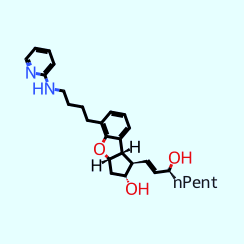 CCCCC[C@H](O)/C=C/[C@@H]1[C@H]2c3cccc(CCCCNc4ccccn4)c3O[C@H]2C[C@H]1O